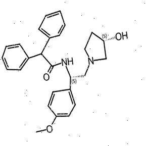 COc1ccc([C@@H](CN2CC[C@H](O)C2)NC(=O)C(c2ccccc2)c2ccccc2)cc1